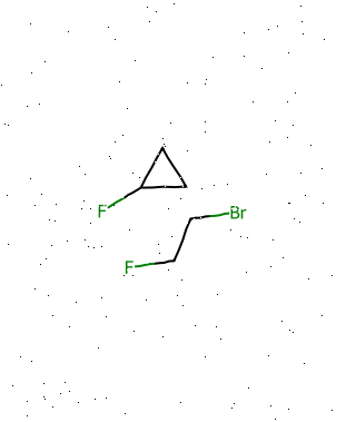 FC1CC1.FCCBr